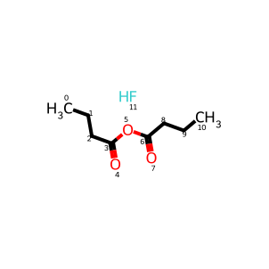 CCCC(=O)OC(=O)CCC.F